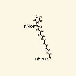 CCCCC/C=C\CCCCCCCCCCCC=C(CCCCCCCCC)N1CCCC1